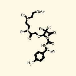 CCC[C@@H](NC(=O)N1C(=O)C(CC)(CC)C1OCC(=O)N(CCN(CC)CCOC)C(C)C)c1ccc(C)cc1